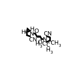 C[C@H]1C[C@@H](C#N)N(C(=O)/C=C/C(=O)N2[C@H](C#N)C[C@@H]3C[C@@H]32)C1(C)C